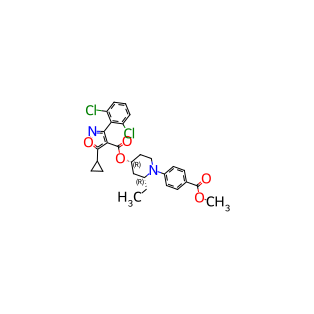 CC[C@@H]1C[C@H](OC(=O)c2c(-c3c(Cl)cccc3Cl)noc2C2CC2)CCN1c1ccc(C(=O)OC)cc1